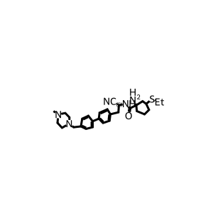 CCSC1CCCC(N)(C(=O)N[C@H](C#N)Cc2ccc(-c3ccc(CN4CCN(C)CC4)cc3)cc2)C1